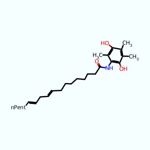 CCCCCC=CCC=CCCCCCCCC(=O)Nc1c(C)c(O)c(C)c(C)c1O